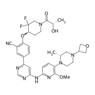 COc1nc(Nc2cc(-c3ccc(O[C@@H]4CCN(C(=O)[C@H](C)O)CC4(F)F)c(C#N)c3)ncn2)ccc1N1CCN(C2COC2)C[C@H]1C